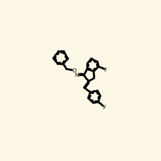 Fc1ccc(/C=C2\Cc3c(F)cccc3\C2=N/OCc2ccccc2)cc1